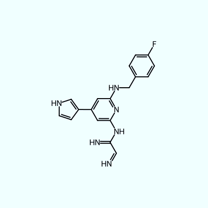 N=CC(=N)Nc1cc(-c2cc[nH]c2)cc(NCc2ccc(F)cc2)n1